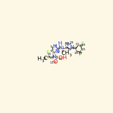 C[C@H](Nc1nccc(N2C(O)OC[C@@H]2[C@H](C)F)n1)c1cn(-c2cc(F)cc(F)c2)cn1